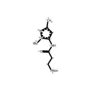 CCCCCCCCCCCC(=O)Nc1cc(C)nn1C(C)(C)C